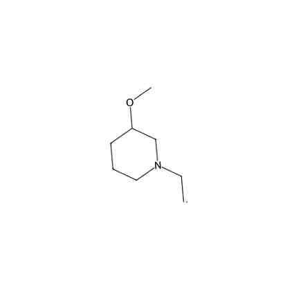 [CH2]CN1CCCC(OC)C1